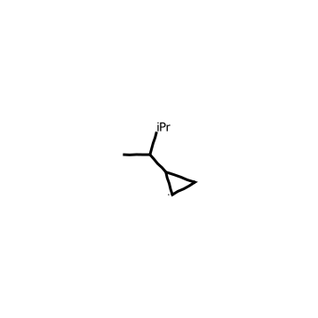 CC(C)C(C)C1[CH]C1